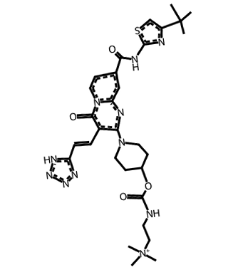 CC(C)(C)c1csc(NC(=O)c2ccn3c(=O)c(C=Cc4nnn[nH]4)c(N4CCC(OC(=O)NCC[N+](C)(C)C)CC4)nc3c2)n1